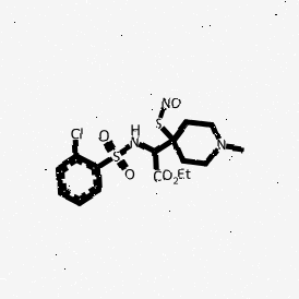 CCOC(=O)C(NS(=O)(=O)c1ccccc1Cl)C1(SN=O)CCN(C)CC1